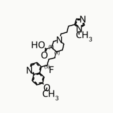 COc1ccc2nccc([C@@H](F)CC[C@@H]3CCN(CCCc4cncn4C)C[C@@H]3C(=O)O)c2c1